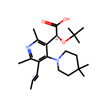 C/C=C/c1c(C)nc(C)c([C@H](OC(C)(C)C)C(=O)O)c1N1CCC(C)(C)CC1